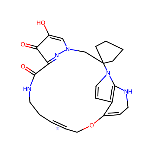 O=C1NCC/C=C/COC2=CCNc3c2ccn3C2(CCCC2)Cn2cc(O)c(=O)c1n2